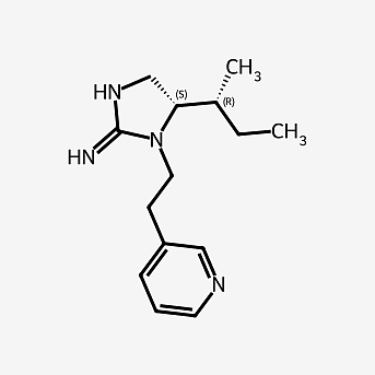 CC[C@@H](C)[C@H]1CNC(=N)N1CCc1cccnc1